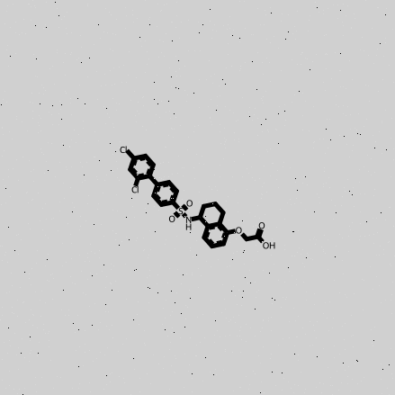 O=C(O)COc1cccc2c1CCCC2NS(=O)(=O)c1ccc(-c2ccc(Cl)cc2Cl)cc1